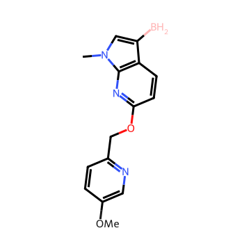 Bc1cn(C)c2nc(OCc3ccc(OC)cn3)ccc12